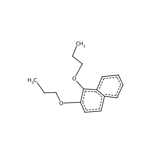 CCCOc1ccc2[c]cccc2c1OCCC